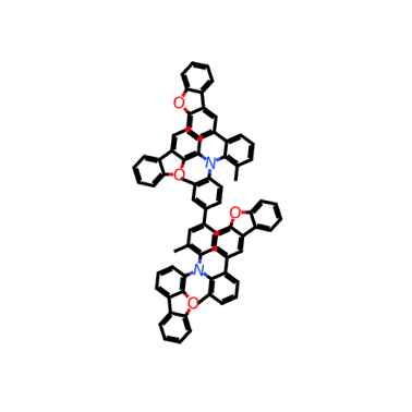 Cc1cc(-c2ccc(N(c3c(C)cccc3-c3ccc4oc5ccccc5c4c3)c3cccc4c3oc3ccccc34)c(C)c2)ccc1N(c1c(C)cccc1-c1ccc2oc3ccccc3c2c1)c1cccc2c1oc1ccccc12